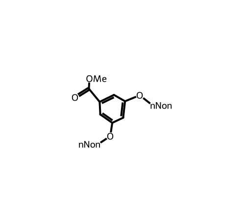 CCCCCCCCCOc1cc(OCCCCCCCCC)cc(C(=O)OC)c1